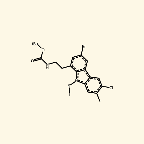 Cc1cc2c(cc1Cl)c1cc(Br)cc(CCNC(=O)OC(C)(C)C)c1n2SI